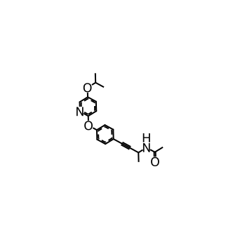 CC(=O)NC(C)C#Cc1ccc(Oc2ccc(OC(C)C)cn2)cc1